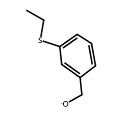 CCSc1cccc(C[O])c1